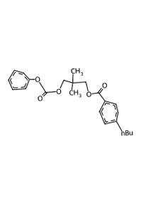 CCCCc1ccc(C(=O)OCC(C)(C)COC(=O)Oc2ccccc2)cc1